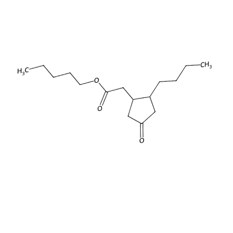 CCCCCOC(=O)CC1CC(=O)CC1CCCC